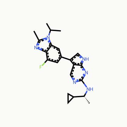 Cc1nc2c(F)cc(-c3c[nH]c4nc(N[C@H](C)C5CC5)ncc34)cc2n1C(C)C